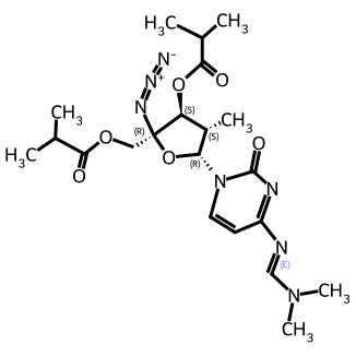 CC(C)C(=O)OC[C@@]1(N=[N+]=[N-])O[C@@H](n2ccc(/N=C/N(C)C)nc2=O)[C@@H](C)[C@@H]1OC(=O)C(C)C